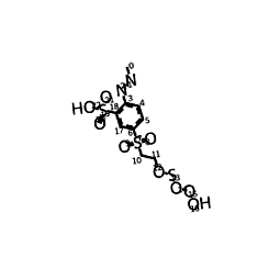 C/N=N/c1ccc(S(=O)(=O)CCOSOOO)cc1S(=O)(=O)O